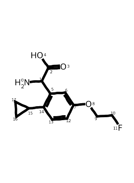 NC(C(=O)O)c1cc(OCCF)ccc1C1CC1